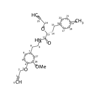 C#CCOc1ccc(CCNC(=O)[C@@H](CCc2ccc(C)cc2)OCC#C)cc1OC